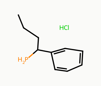 CCCC(P)c1ccccc1.Cl